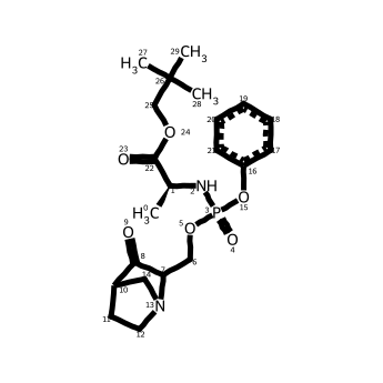 C[C@H](NP(=O)(OCC1C(=O)C2CCN1C2)Oc1ccccc1)C(=O)OCC(C)(C)C